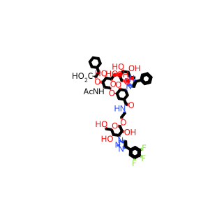 CC(=O)NC1C(O[C@@H](CC2CCCCC2)C(=O)O)[C@@H](O)C(CO)O[C@H]1O[C@@H]1CC(C(=O)NCCO[C@H]2OC(CO)[C@@H](O)C(n3cc(-c4cc(F)c(F)c(F)c4)nn3)C2O)CC(n2cc(-c3ccccc3)nn2)C1O[C@@H]1OC(C)[C@@H](O)C(O)C1O